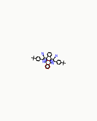 CC(C)(C)c1ccc(-c2nc(-c3ccccc3)c(C#N)c(-c3ccccc3-c3c(C#N)c(-c4ccccc4)nc(-c4ccc(C(C)(C)C)cc4)c3C#N)c2C#N)cc1